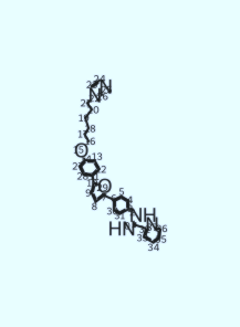 N=C(Nc1ccc(-c2ccc(-c3ccc(OCCCCCCn4ccnc4)cc3)o2)cc1)c1ccccn1